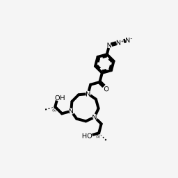 C[C@H](O)CN1CCN(CC(=O)c2ccc(N=[N+]=[N-])cc2)CCN(C[C@H](C)O)CC1